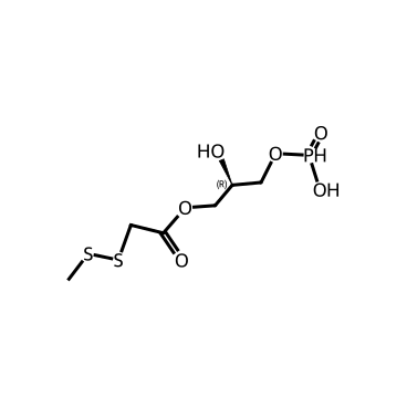 CSSCC(=O)OC[C@@H](O)CO[PH](=O)O